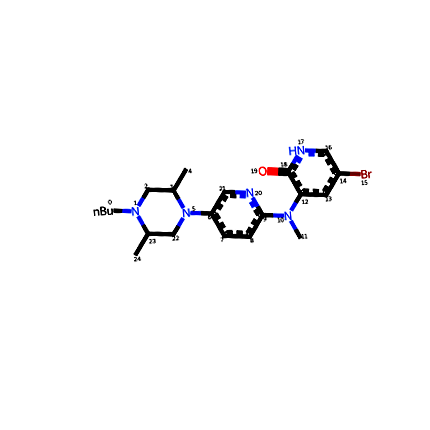 CCCCN1CC(C)N(c2ccc(N(C)c3cc(Br)c[nH]c3=O)nc2)CC1C